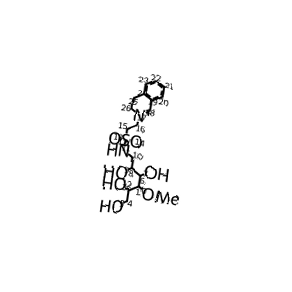 COC(C(O)CO)C(O)C(O)CNS(=O)(=O)CC[N+]1=Cc2ccccc2CC1